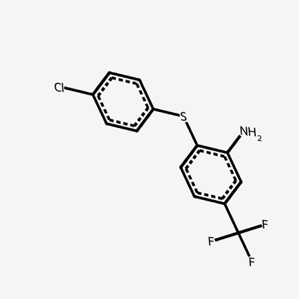 Nc1cc(C(F)(F)F)ccc1Sc1ccc(Cl)cc1